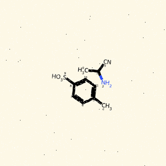 CC(N)C#N.Cc1ccc(S(=O)(=O)O)cc1